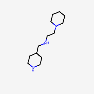 C1CCN(CCNCC2CCNCC2)CC1